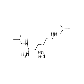 CC(C)CNCCCCCC(N)NCC(C)C.Cl.Cl